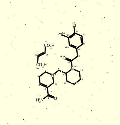 NC(=O)C1=CCCN(CC2CCCCN2C(=O)Cc2ccc(Cl)c(Cl)c2)C1.O=C(O)C=CC(=O)O